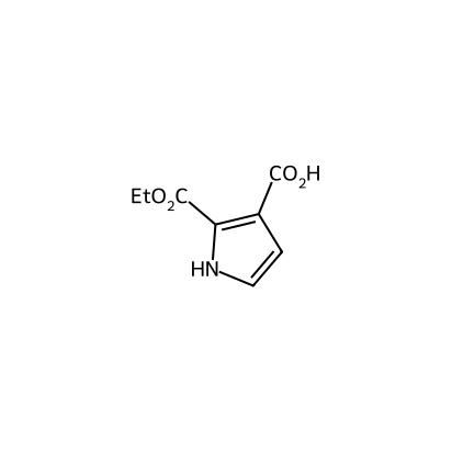 CCOC(=O)c1[nH]ccc1C(=O)O